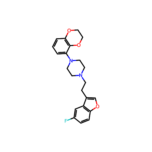 Fc1ccc2occ(CCN3CCN(c4cccc5c4OCCO5)CC3)c2c1